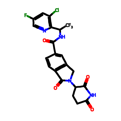 O=C1CCC(N2Cc3cc(C(=O)NC(c4ncc(F)cc4Cl)C(F)(F)F)ccc3C2=O)C(=O)N1